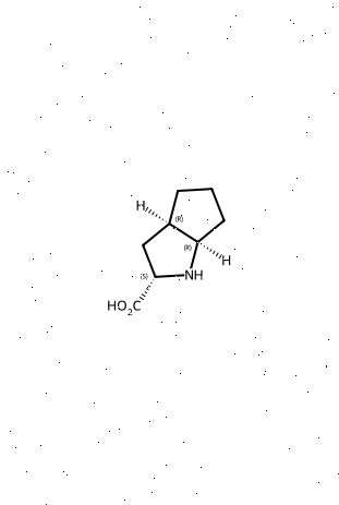 O=C(O)[C@@H]1C[C@H]2CCC[C@H]2N1